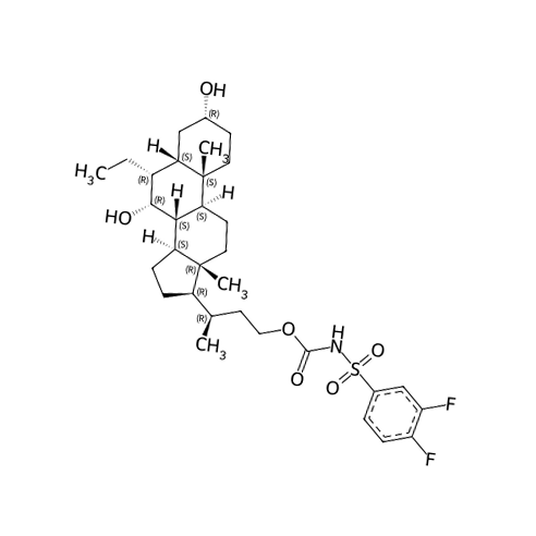 CC[C@H]1[C@@H](O)[C@@H]2[C@H](CC[C@]3(C)[C@@H]([C@H](C)CCOC(=O)NS(=O)(=O)c4ccc(F)c(F)c4)CC[C@@H]23)[C@@]2(C)CC[C@@H](O)C[C@@H]12